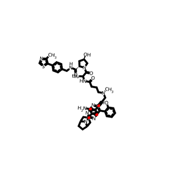 Cc1ncsc1-c1ccc(CNC(=O)[C@@H]2C[C@@H](O)CN2C(=O)C(NC(=O)CCCN(C)CC#Cc2cnc(N3C4CCC3CN(c3cc(-c5ccccc5O)nnc3N)C4)nc2)C(C)(C)C)cc1